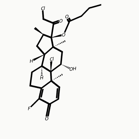 CCCC(=O)O[C@]1(C(=O)CCl)[C@H](C)C[C@H]2[C@@H]3CCC4=C(F)C(=O)C=C[C@]4(C)[C@@]3(Cl)[C@@H](O)C[C@@]21C